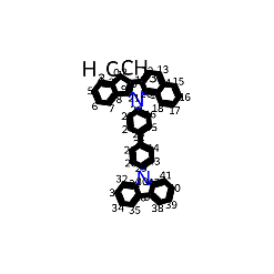 CC1(C)c2ccccc2-c2c1c1ccc3ccccc3c1n2-c1ccc(-c2ccc(-n3c4ccccc4c4ccccc43)cc2)cc1